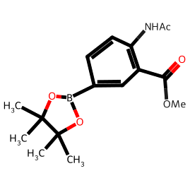 COC(=O)c1cc(B2OC(C)(C)C(C)(C)O2)ccc1NC(C)=O